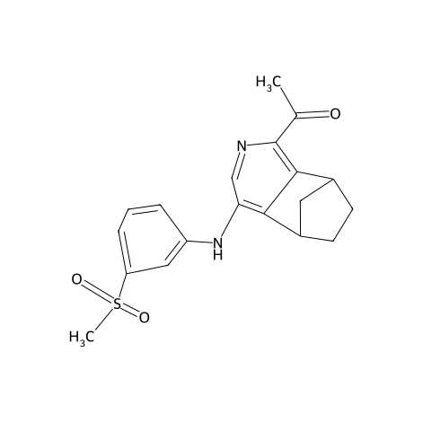 CC(=O)c1ncc(Nc2cccc(S(C)(=O)=O)c2)c2c1C1CCC2C1